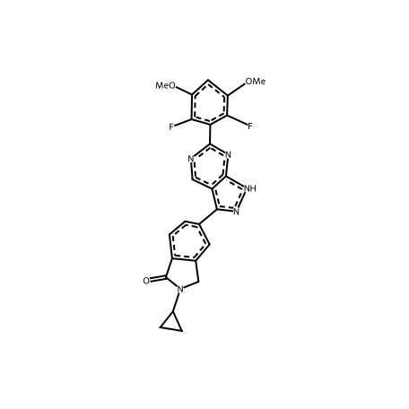 COc1cc(OC)c(F)c(-c2ncc3c(-c4ccc5c(c4)CN(C4CC4)C5=O)n[nH]c3n2)c1F